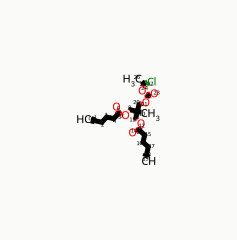 C#CCCCC(=O)OCC(C)(COC(=O)CCCC#C)COC(=O)OC(C)Cl